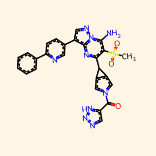 CS(=O)(=O)c1c(C2c3cn(C(=O)c4cnn[nH]4)cc32)nc2c(-c3ccc(-c4ccccc4)nc3)cnn2c1N